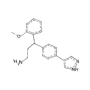 COc1ccccc1C(CCN)c1ccc(-c2cn[nH]c2)cc1